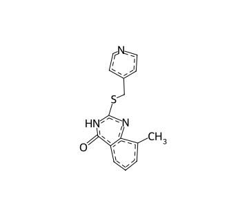 Cc1cccc2c(=O)[nH]c(SCc3ccncc3)nc12